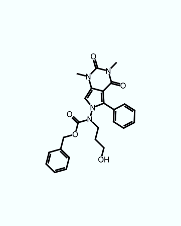 Cn1c(=O)c2c(-c3ccccc3)n(N(CCCO)C(=O)OCc3ccccc3)cc2n(C)c1=O